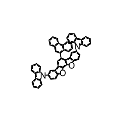 c1ccc2c(c1)cc(-c1cc3c4cc(-n5c6ccccc6c6ccccc65)ccc4oc3c3oc4ccc(-n5c6ccccc6c6ccccc65)cc4c13)c1ccccc12